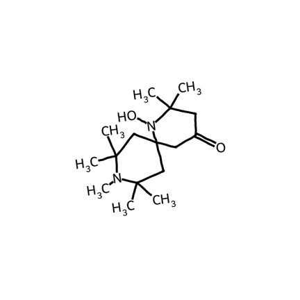 CN1C(C)(C)CC2(CC(=O)CC(C)(C)N2O)CC1(C)C